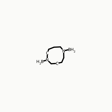 BN1CCCCN(B)CCCC1